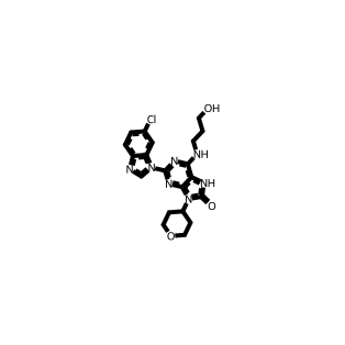 O=c1[nH]c2c(NCCCO)nc(-n3cnc4ccc(Cl)cc43)nc2n1C1CCOCC1